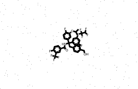 CC(C)Oc1cc(C(Cc2ccc(CO)cc2)(NC(=O)c2ccc(F)c(C(F)(F)F)c2)c2cc(F)cc(OC(F)(F)C(F)F)c2)ccc1F